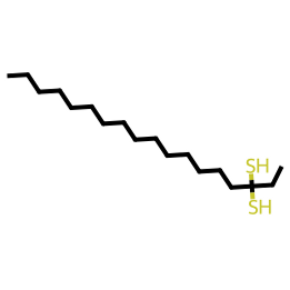 CCCCCCCCCCCCCCCC(S)(S)CC